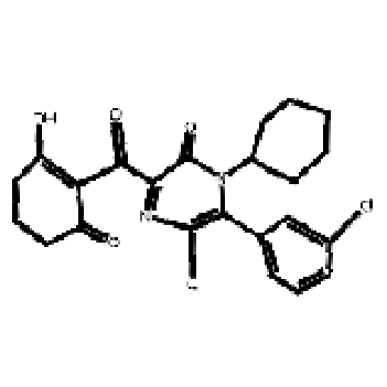 O=C1CCCC(O)=C1C(=O)c1nc(Cl)c(-c2cccc(Cl)c2)n(C2CCCCC2)c1=O